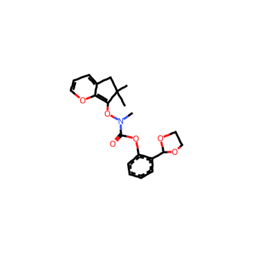 CN(OC1=C2OC=CC=C2CC1(C)C)C(=O)Oc1ccccc1C1OCCO1